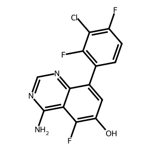 Nc1ncnc2c(-c3ccc(F)c(Cl)c3F)cc(O)c(F)c12